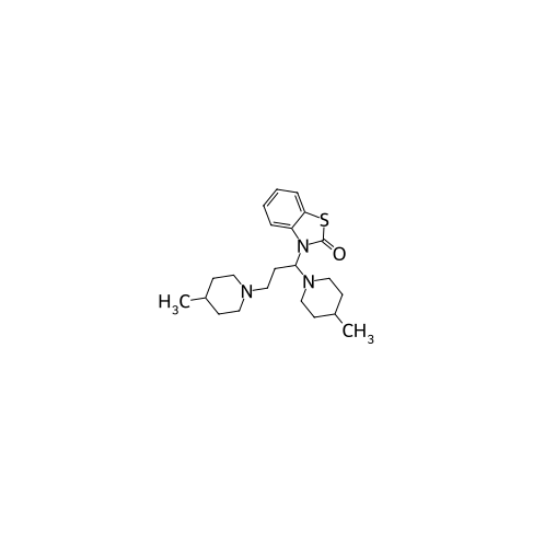 CC1CCN(CCC(N2CCC(C)CC2)n2c(=O)sc3ccccc32)CC1